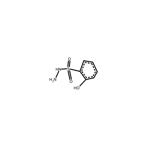 NNS(=O)(=O)c1ccccc1O